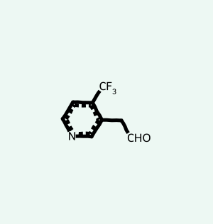 O=CCc1cnccc1C(F)(F)F